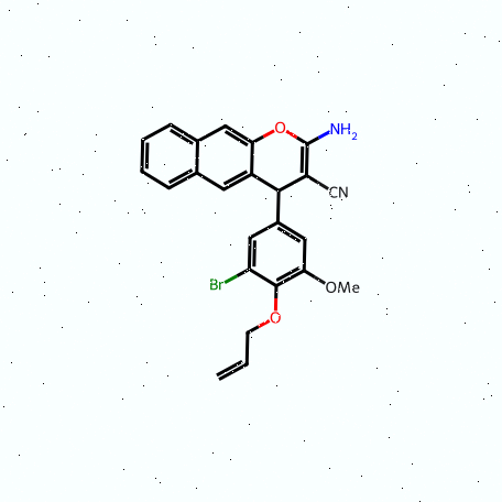 C=CCOc1c(Br)cc(C2C(C#N)=C(N)Oc3cc4ccccc4cc32)cc1OC